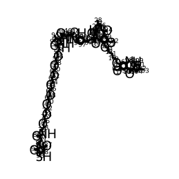 COc1cc2c(cc1OCCCCCOc1cc3c(cc1OC)C(=O)N1C=C(C)C[C@H]1[C@H](O)N3C(=O)OCc1ccc(NC(=O)[C@H](C)NC(=O)C(NC(=O)CCOCCOCCOCCOCCOCCOCCOCCOCCNC(=O)CCN3C(=O)CC(S)C3=O)C(C)C)cc1)N=C[C@@H]1CC(C)=CN1C2=O